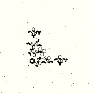 CC(C)N(C(=O)SCC(Cl)=C(Cl)Cl)C(C)C.CCCN(CCC)C(=O)S.CCCSC(=O)N(CCC)CCC.CCSC(=O)N(CC(C)C)CC(C)C.CCSC(=O)N(CC(C)C)CC(C)C.CCSC(=O)N(CC)C1CCCCC1